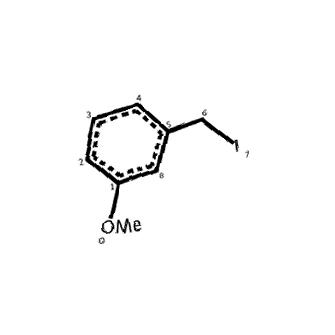 COc1cccc(CI)c1